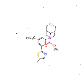 Cc1cnc(-c2cc(OC3C4COCC3CN(C(=O)OC(C)C)C4)cc(C(=O)O)c2)s1